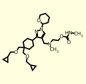 CNC(=O)OCCN(C)Cc1cn(C2CCCCO2)nc1C1CCC(COCC2CC2)(COCC2CC2)CC1